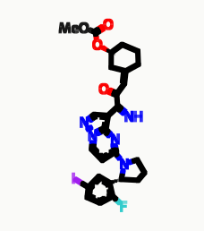 COC(=O)O[C@H]1CCC/C(=C/C(=O)C(=N)c2cnn3ccc(N4CCC[C@@H]4c4cc(I)ccc4F)nc23)C1